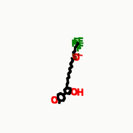 CC1CCC(C2C=C(O)C=C(CCCCCCCCCCC[S+]([O-])CCCC(F)(F)C(F)(F)F)C2)CCC1=O